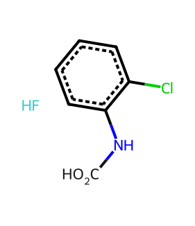 F.O=C(O)Nc1ccccc1Cl